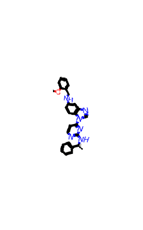 COc1ccccc1CNc1ccc2c(c1)ncn2-c1ccnc(N[C@@H](C)c2ccccc2)n1